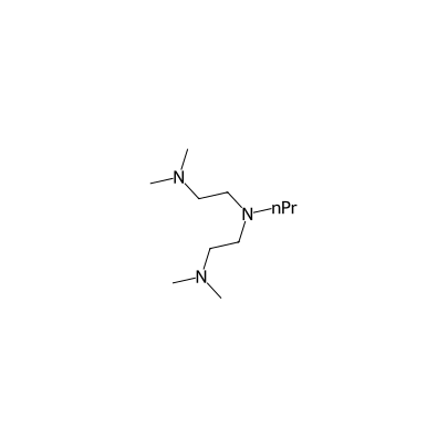 [CH2]CCN(CCN(C)C)CCN(C)C